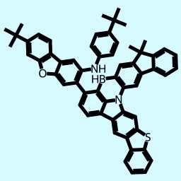 CC(C)(C)c1ccc(Nc2cc3c(cc2-c2ccc4c5cc6c(cc5n5c4c2Bc2cc4c(cc2-5)-c2ccccc2C4(C)C)sc2ccccc26)oc2cc(C(C)(C)C)ccc23)cc1